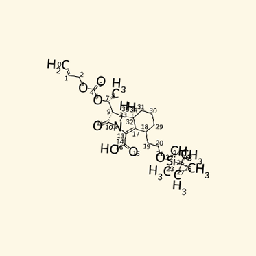 C=CCOC(=O)O[C@H](C)[C@H]1C(=O)N2C(C(=O)O)=C3C(CCO[Si](C)(C)C(C)(C)C)CCC[C@@H]3[C@H]12